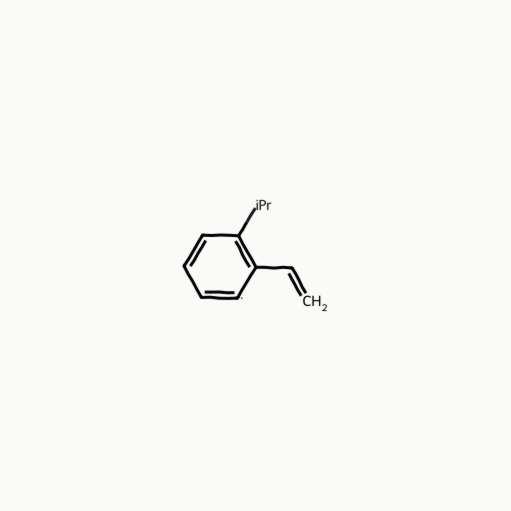 C=Cc1[c]cccc1C(C)C